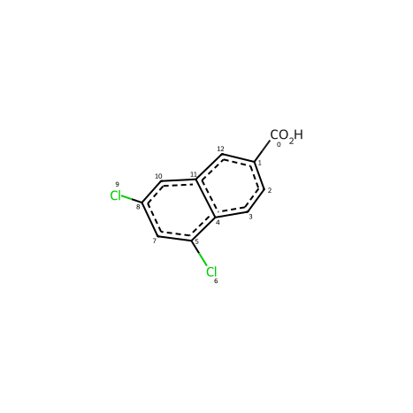 O=C(O)c1ccc2c(Cl)cc(Cl)cc2c1